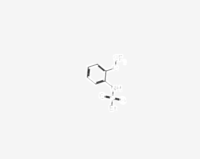 CCS(=O)(=O)Nc1ccccc1OC(F)(F)F